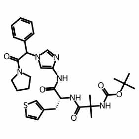 CC(C)(C)OC(=O)NC(C)(C)C(=O)N[C@H](Cc1ccsc1)C(=O)Nc1cn(C(C(=O)N2CCCC2)c2ccccc2)cn1